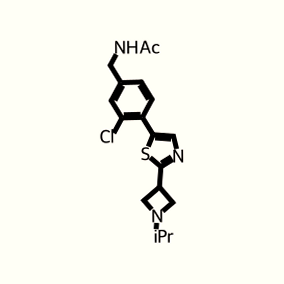 CC(=O)NCc1ccc(-c2cnc(C3CN(C(C)C)C3)s2)c(Cl)c1